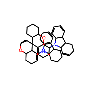 C1=CC2C3CCC=CC3N(C3CCC=C4C3OC3CCCCC3C43C4=CCCCC4OC4CCC=C(N5C6=C(C=CCC6)C6CCCCC65)C43)C2C=C1